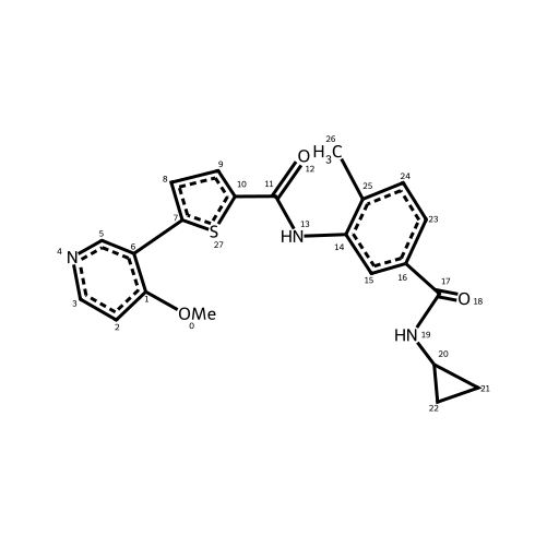 COc1ccncc1-c1ccc(C(=O)Nc2cc(C(=O)NC3CC3)ccc2C)s1